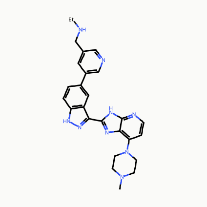 CCNCc1cncc(-c2ccc3[nH]nc(-c4nc5c(N6CCN(C)CC6)ccnc5[nH]4)c3c2)c1